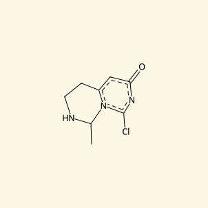 CC1NCCc2cc(=O)nc(Cl)n21